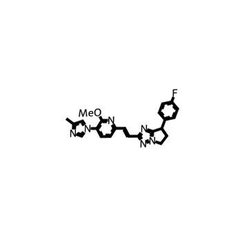 COc1nc(/C=C/c2nc3n(n2)CCC3c2ccc(F)cc2)ccc1-n1cnc(C)c1